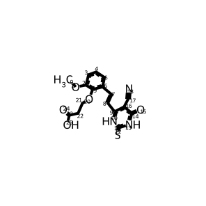 COc1cccc(/C=C/c2[nH]c(=S)[nH]c(=O)c2C#N)c1OCCC(=O)O